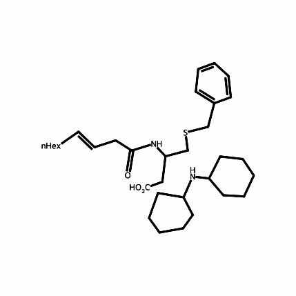 C1CCC(NC2CCCCC2)CC1.CCCCCC/C=C/CC(=O)NC(CSCc1ccccc1)CC(=O)O